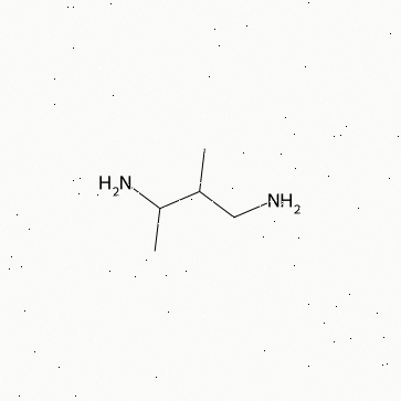 CC(N)C(C)CN